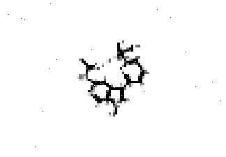 CC(=O)Nc1cc2c(-c3cccc(C(C)(F)F)n3)cn(C)c2cn1